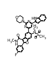 CNC(=O)c1c(-c2ccc(F)cc2)oc2cc(N(C)S(C)(=O)=O)c(-c3cc(-c4cc5ccccc5[nH]4)nc(N4CCOCC4)n3)cc12